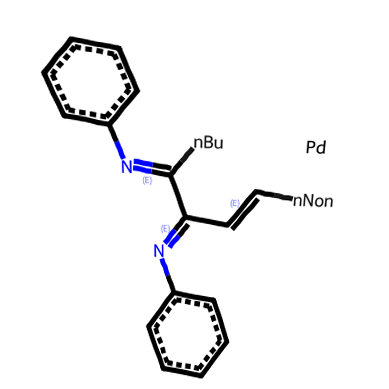 CCCCCCCCC/C=C/C(=N\c1ccccc1)C(/CCCC)=N/c1ccccc1.[Pd]